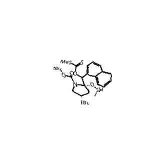 CSC(=S)OC(c1cccc2ccccc12)[C@@]1(O[SiH](C)C)C[C@H](C(C)(C)C)CN1C(=O)OC(C)(C)C